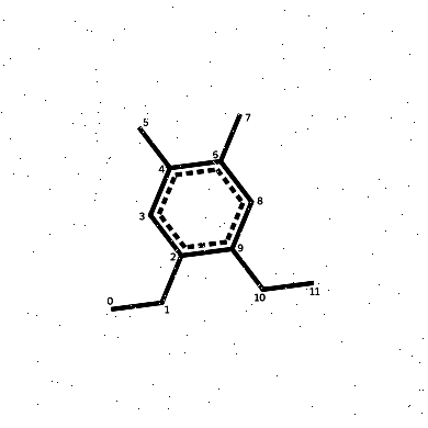 CCc1cc(C)c(C)cc1CC